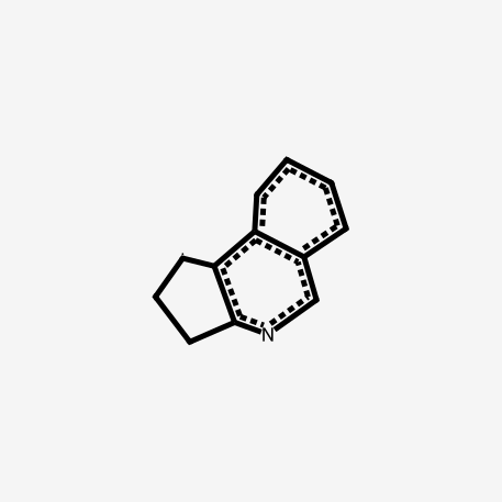 [CH]1CCc2ncc3ccccc3c21